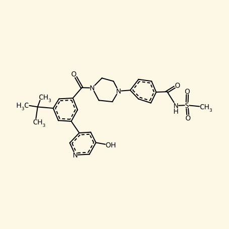 CC(C)(C)c1cc(C(=O)N2CCN(c3ccc(C(=O)NS(C)(=O)=O)cc3)CC2)cc(-c2cncc(O)c2)c1